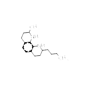 CCCCC1CCc2ccc3c(c2N1)NC(C)CC3